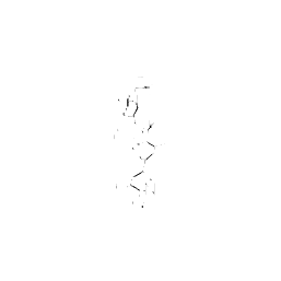 COc1cc(-c2cc(C)c3c(n2)[C@H](OC)N(c2cnn(CC(F)(F)F)c2)C3=O)cnc1OC